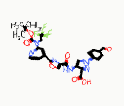 CC(C)(C)OC(=O)N(CC(F)(F)F)c1cc(-c2nc(C(=O)Nc3cn(-c4ccc(C=O)cc4)nc3C(=O)O)co2)ccn1